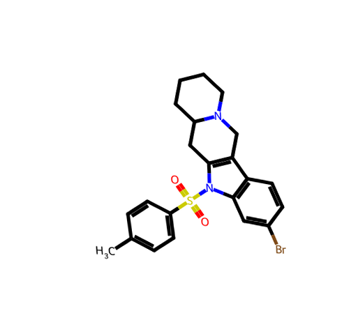 Cc1ccc(S(=O)(=O)n2c3c(c4ccc(Br)cc42)CN2CCCCC2C3)cc1